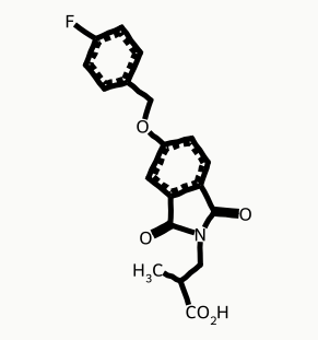 CC(CN1C(=O)c2ccc(OCc3ccc(F)cc3)cc2C1=O)C(=O)O